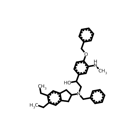 CCc1cc2c(cc1CC)CC(N(Cc1ccccc1)CC(O)c1ccc(OCc3ccccc3)c(NC)c1)C2